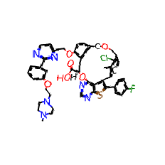 Cc1c2ccc(c1Cl)COCc1ccc(OCc3ccnc(-c4cccc(OCCN5CCN(C)CC5)c4)n3)c(c1)C[C@H](C(=O)O)Oc1ncnc3sc(-c4ccc(F)cc4)c-2c13